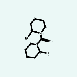 CCC1CCCCN1C(=O)N1CCCCC1CC